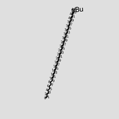 C=CC=CCCCCCCCCCCCCCCCCCCC=CCC=CCCCCCCCCCCCCCC=CC=CCCCC